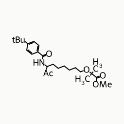 COC(=O)C(C)(C)OCCCCCCC(NC(=O)c1ccc(C(C)(C)C)cc1)C(C)=O